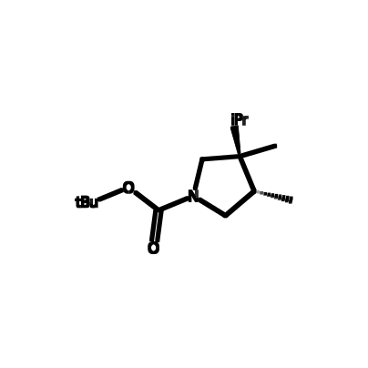 CC(C)[C@]1(C)CN(C(=O)OC(C)(C)C)C[C@H]1C